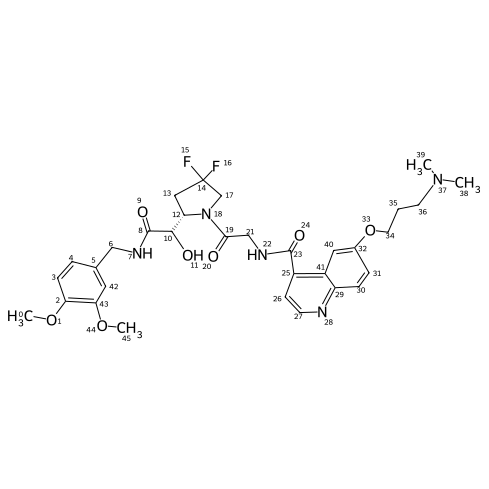 COc1ccc(CNC(=O)C(O)[C@@H]2CC(F)(F)CN2C(=O)CNC(=O)c2ccnc3ccc(OCCCN(C)C)cc23)cc1OC